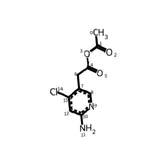 CC(=O)OC(=O)Cc1cnc(N)cc1Cl